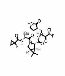 CC[C@H](C)[C@H](NC(=O)C1(F)CC1)C(=O)N1C[C@H]2[C@@H]([C@H]1C(=O)NN(C[C@@H]1CCNC1=O)C(=O)[C@H](F)Cl)C2(C)C